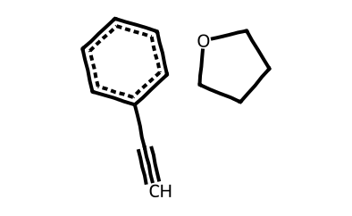 C#Cc1ccccc1.C1CCOC1